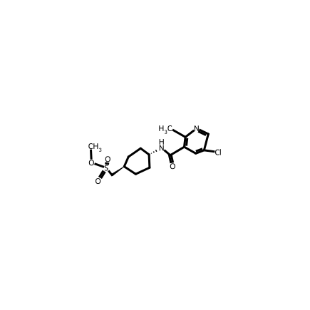 COS(=O)(=O)C[C@H]1CC[C@H](NC(=O)c2cc(Cl)cnc2C)CC1